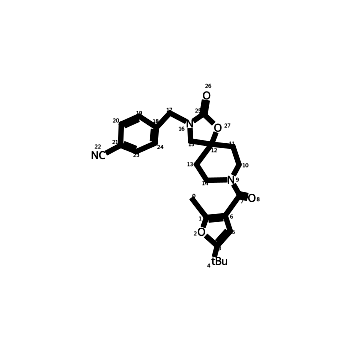 Cc1oc(C(C)(C)C)cc1C(=O)N1CCC2(CC1)CN(Cc1ccc(C#N)cc1)C(=O)O2